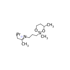 C/C(CC(C)C)=N\CCC[Si]1(C)OCCC(C)O1